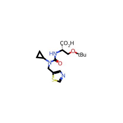 CC(C)(C)OC[C@H](NC(=O)N(Cc1cncs1)C1CC1)C(=O)O